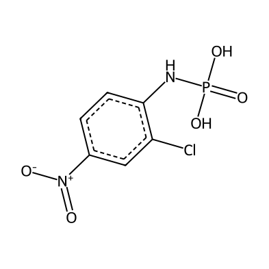 O=[N+]([O-])c1ccc(NP(=O)(O)O)c(Cl)c1